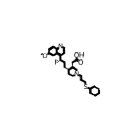 COc1ccc2nccc([C@@H](F)CC[C@@H]3CCN(CCCSC4CCCCC4)C[C@@H]3CC(=O)O)c2c1